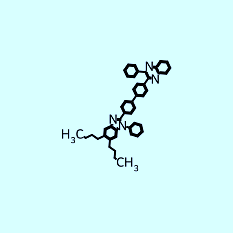 CCCCc1cc2nc(-c3ccc(-c4ccc(-c5nc6ccccc6nc5-c5ccccc5)cc4)cc3)n(-c3ccccc3)c2cc1CCCC